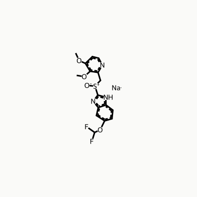 COc1ccnc(C[S+]([O-])c2nc3cc(OC(F)F)ccc3[nH]2)c1OC.[Na]